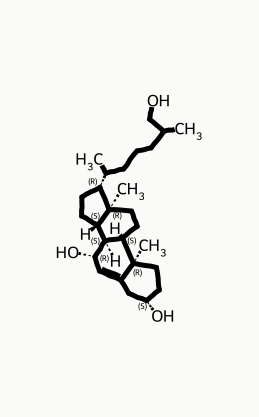 CC(CO)CCCC(C)[C@H]1CC[C@H]2[C@@H]3[C@@H](O)C=C4C[C@@H](O)CC[C@]4(C)[C@H]3CC[C@]12C